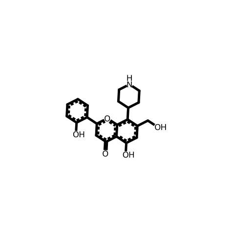 O=c1cc(-c2ccccc2O)oc2c(C3CCNCC3)c(CO)cc(O)c12